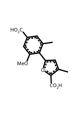 COc1cc(C(=O)O)cc(C)c1-c1cc(C)c(C(=O)O)o1